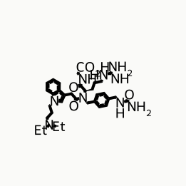 CCN(CC)CCCn1cc(CC(=O)N(Cc2ccc(CNC(N)=O)cc2)[C@H](CCCNC(=N)N)C(=O)NCC(=O)O)c2ccccc21